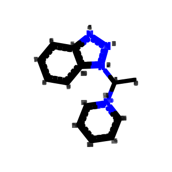 CC(n1nnc2ccccc21)[n+]1ccccc1